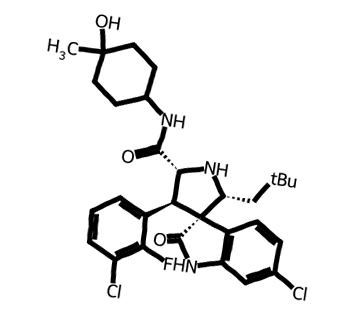 CC(C)(C)C[C@H]1N[C@@H](C(=O)NC2CCC(C)(O)CC2)[C@H](c2cccc(Cl)c2F)[C@@]12C(=O)Nc1cc(Cl)ccc12